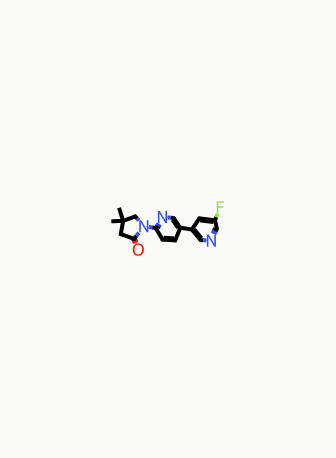 CC1(C)CC(=O)N(c2ccc(-c3cncc(F)c3)cn2)C1